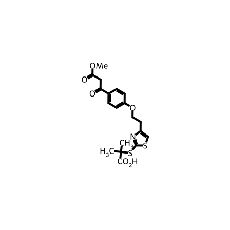 COC(=O)CC(=O)c1ccc(OCCc2csc(SC(C)(C)C(=O)O)n2)cc1